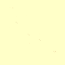 COCCN1C[C@H](C(c2ccccc2)c2ccccc2)n2cc(N(C)C(=O)OC(C)(C)C)c(=O)c(OCc3ccccc3)c2C1=O